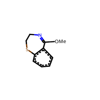 COC1=NCCSc2ccccc21